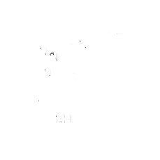 CC(=O)Nc1nnc(S(N)(=O)=O)s1.[Na]